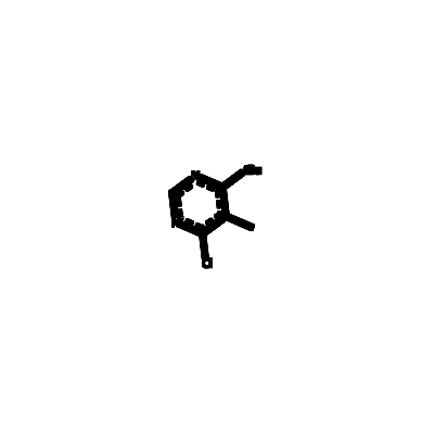 Cc1c(Cl)ncnc1C(C)(C)C